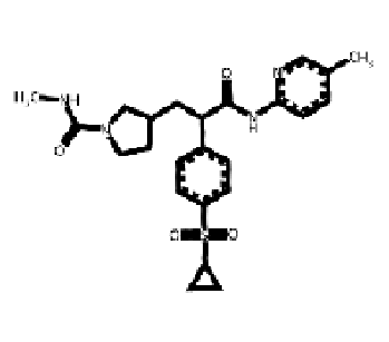 CNC(=O)N1CCC(CC(C(=O)Nc2ccc(C)cn2)c2ccc(S(=O)(=O)C3CC3)cc2)C1